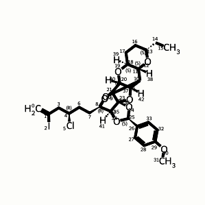 C=C(I)C[C@H](Cl)CC[C@@]12OC3[C@H]4O[C@@H](CC)CC[C@@H]4O[C@H]4C(O1)[C@]1(O[C@@H](c5ccc(OC)cc5)O[C@@H]21)O[C@@H]34